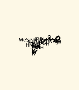 CSCC[C@H](NC(=O)[C@@H](C)NC(=O)[C@H](Cc1cnc[nH]1)NC(=O)CNC(=O)[C@@H](NC(=O)CNC(=O)C(N)CC1=CN[C@@H]2C=CC=CC12)C(C)C)C(N)=O